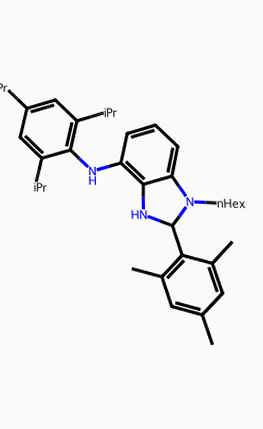 CCCCCCN1c2cccc(Nc3c(C(C)C)cc(C(C)C)cc3C(C)C)c2NC1c1c(C)cc(C)cc1C